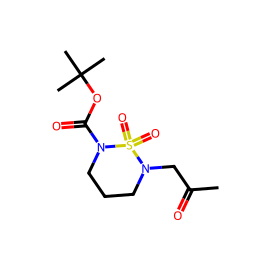 CC(=O)CN1CCCN(C(=O)OC(C)(C)C)S1(=O)=O